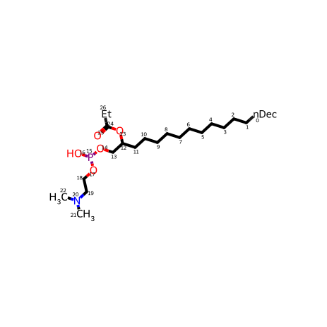 CCCCCCCCCCCCCCCCCCCCCC(COP(O)OCCN(C)C)OC(=O)CC